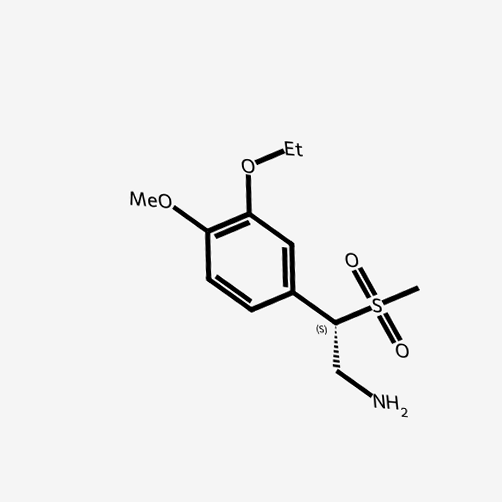 CCOc1cc([C@@H](CN)S(C)(=O)=O)ccc1OC